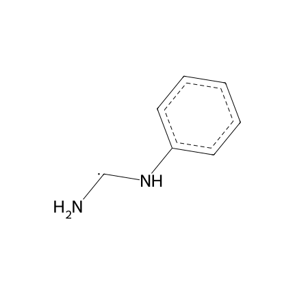 N[CH]Nc1ccccc1